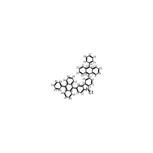 CCn1c2ccc(-c3c4ccccc4c(-c4ccccc4)c4ccccc34)cc2c2cc(-c3c4ccccc4c(-c4ccccc4)c4ccccc34)ccc21